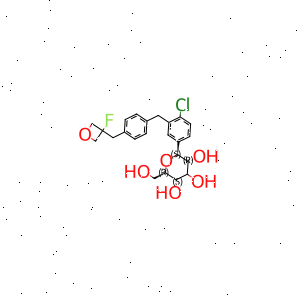 OC[C@H]1O[C@@H](c2ccc(Cl)c(Cc3ccc(CC4(F)COC4)cc3)c2)[C@H](O)C(O)[C@@H]1O